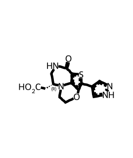 O=C(O)C[C@@H]1CNC(=O)c2sc(-c3cn[nH]c3)c3c2N1CCO3